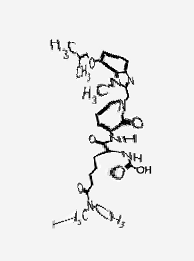 CC(C)COc1cccc2nc(Cn3cccc(NC(=O)C(CC/C=C/C(=O)N(C)C)NC(=O)O)c3=O)n(C)c12